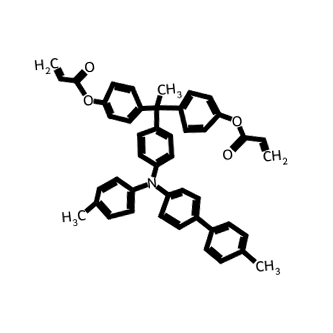 C=CC(=O)Oc1ccc(C(C)(c2ccc(OC(=O)C=C)cc2)c2ccc(N(c3ccc(C)cc3)c3ccc(-c4ccc(C)cc4)cc3)cc2)cc1